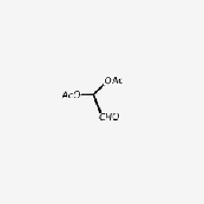 CC(=O)OC(C=O)OC(C)=O